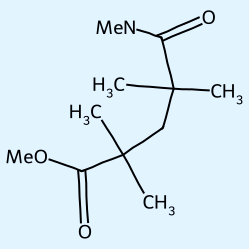 CNC(=O)C(C)(C)CC(C)(C)C(=O)OC